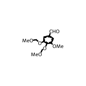 COCOc1cc(C=O)cc(OC)c1OCOC